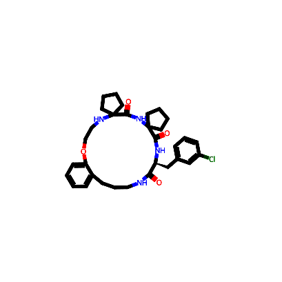 O=C1NCCCc2ccccc2OCCNC2(CCCC2)C(=O)NC2(CCCC2)C(=O)N[C@H]1Cc1cccc(Cl)c1